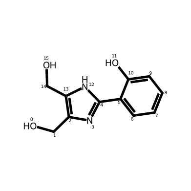 OCc1nc(-c2ccccc2O)[nH]c1CO